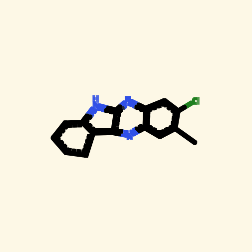 Cc1cc2nc3c(nc2cc1Cl)[nH]c1ccccc13